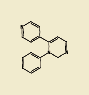 C1=NCN(c2ccccc2)C(c2ccncc2)=C1